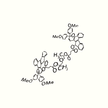 COc1ccc(C2(c3ccc(OC)cc3)C=Cc3c4c(c5ccccc5c3O2)-c2ccccc2C4OC(=O)CCC(=O)OC(C)COCC(C)OC(=O)CCC(=O)OC2c3ccccc3-c3c2c2c(c4ccccc34)OC(c3ccc(OC)cc3)(c3ccc(OC)cc3)C=C2)cc1